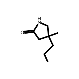 CCCC1(C)CNC(=O)C1